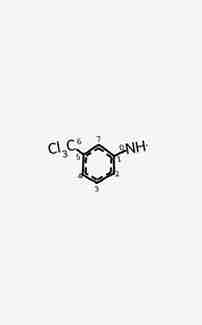 [NH]c1cccc(C(Cl)(Cl)Cl)c1